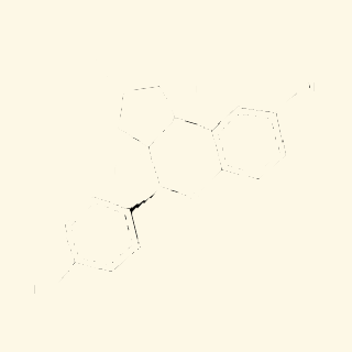 Oc1ccc([C@@H]2Oc3ccc(O)cc3[C@@H]3C[C@@H](O)C[C@@H]32)cc1